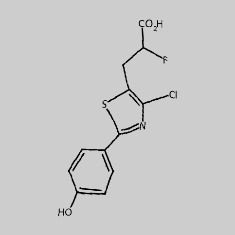 O=C(O)C(F)Cc1sc(-c2ccc(O)cc2)nc1Cl